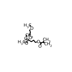 C=C(C)C(=O)OCCC[Si](OC)(OC)OCCCOC